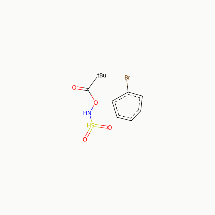 Brc1ccccc1.CC(C)(C)C(=O)ON[SH](=O)=O